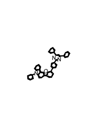 c1ccc(-c2cc(-c3ccccc3)nc(-c3ccc(-c4cccc5c4oc4c5ccc5c4c4ccccc4n5-c4ccccc4)cc3)n2)cc1